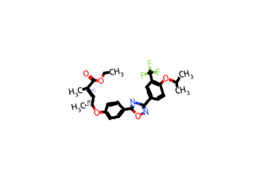 CCOC(=O)/C(C)=C/[C@@H](C)Oc1ccc(-c2nc(-c3ccc(OC(C)C)c(C(F)(F)F)c3)no2)cc1